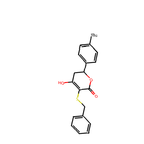 CC(C)(C)c1ccc(C2CC(O)=C(SCc3ccccc3)C(=O)O2)cc1